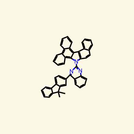 CC1(C)c2ccccc2-c2ccc(-c3nc(-n4c5ccc6ccccc6c5c5c6ccccc6c6ccccc6c54)nc4ccccc34)cc21